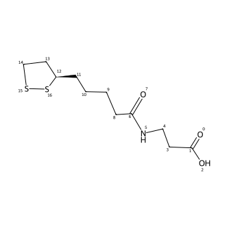 O=C(O)CCNC(=O)CCCC[C@@H]1CCSS1